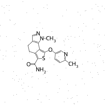 Cc1ccc(Oc2sc(C(N)=O)c3c2-c2c(cnn2C)CC3)cn1